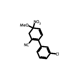 COC1([N+](=O)[O-])C=CC(c2cccc(Cl)c2)=C(C#N)C1